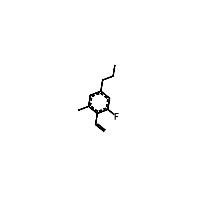 C=Cc1c(C)cc(CCC)cc1F